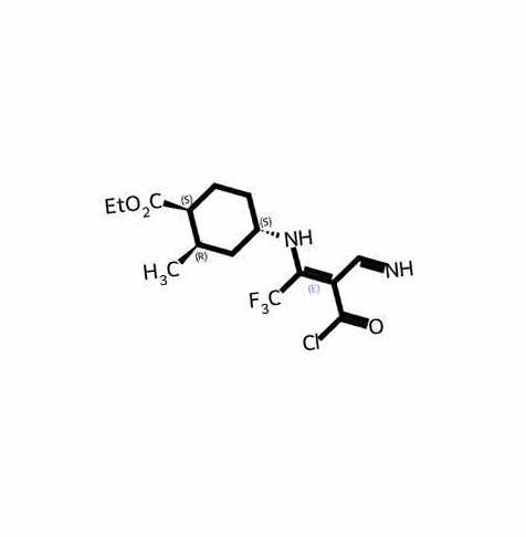 CCOC(=O)[C@H]1CC[C@H](N/C(=C(\C=N)C(=O)Cl)C(F)(F)F)C[C@H]1C